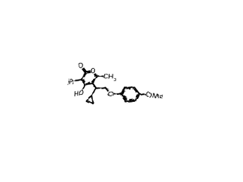 COc1ccc(OCC(c2c(C)oc(=O)c(C(C)C)c2O)C2CC2)cc1